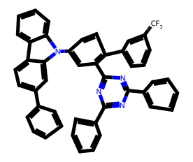 FC(F)(F)c1cccc(-c2ccc(-n3c4ccccc4c4ccc(-c5ccccc5)cc43)cc2-c2nc(-c3ccccc3)nc(-c3ccccc3)n2)c1